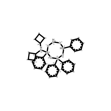 c1ccc([SiH]2O[SiH2]O[Si](c3ccccc3)([SiH](C3CCC3)C3CCC3)O[Si](c3ccccc3)(c3ccccc3)O2)cc1